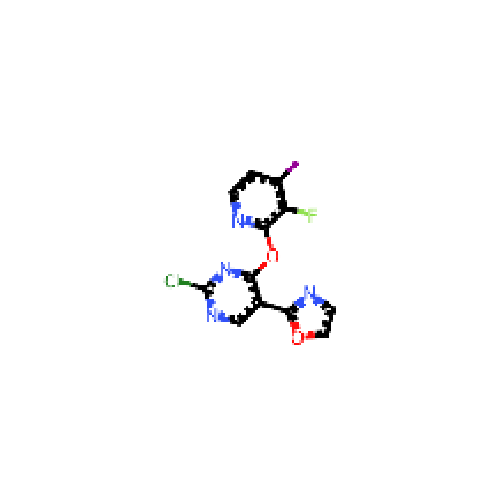 Fc1c(I)ccnc1Oc1nc(Cl)ncc1-c1ncco1